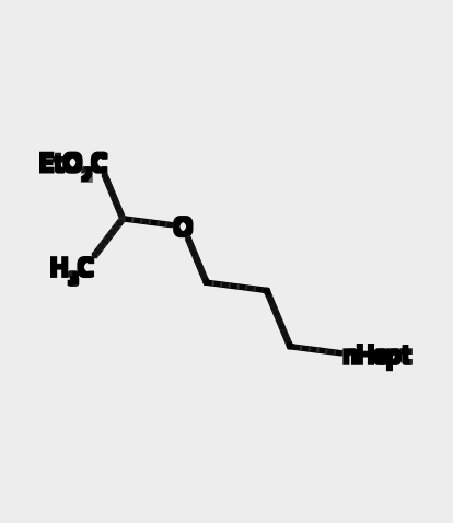 CCCCCCCCCCOC(C)C(=O)OCC